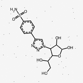 NS(=O)(=O)c1ccc(-c2cn(C3C(O)C(O)OC3C(O)CO)nn2)cc1